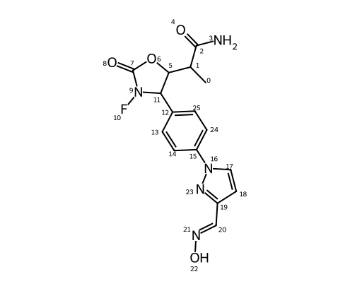 CC(C(N)=O)C1OC(=O)N(F)C1c1ccc(-n2ccc(C=NO)n2)cc1